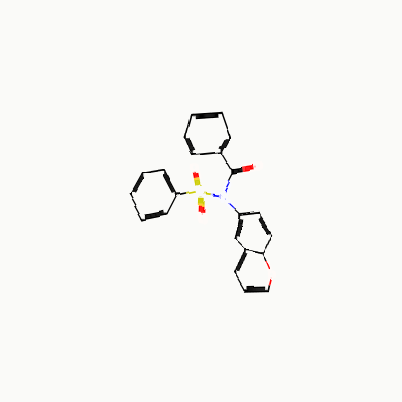 O=C(c1ccccc1)N(C1=CC2=CC=COC2C=C1)S(=O)(=O)c1ccccc1